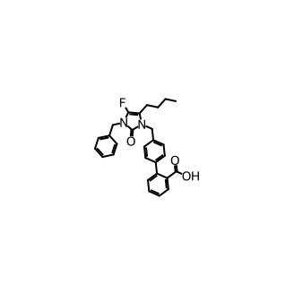 CCCCc1c(F)n(Cc2ccccc2)c(=O)n1Cc1ccc(-c2ccccc2C(=O)O)cc1